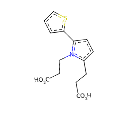 O=C(O)CCc1ccc(-c2cccs2)n1CCC(=O)O